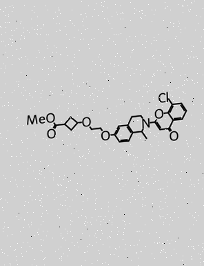 COC(=O)C1CC(OCCOc2ccc3c(c2)CCN(c2cc(=O)c4cccc(Cl)c4o2)C3C)C1